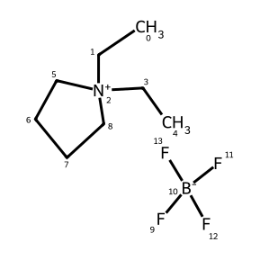 CC[N+]1(CC)CCCC1.F[B-](F)(F)F